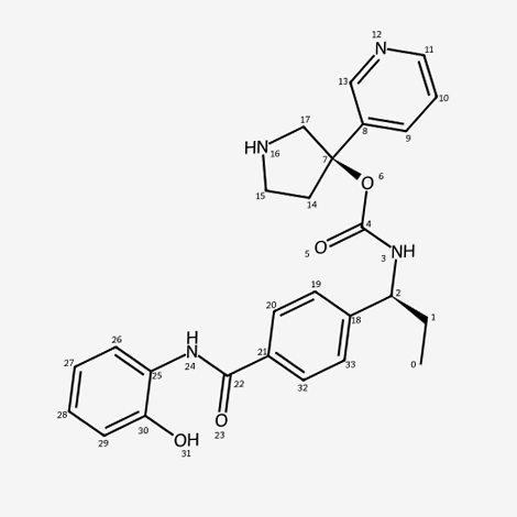 CC[C@H](NC(=O)O[C@@]1(c2cccnc2)CCNC1)c1ccc(C(=O)Nc2ccccc2O)cc1